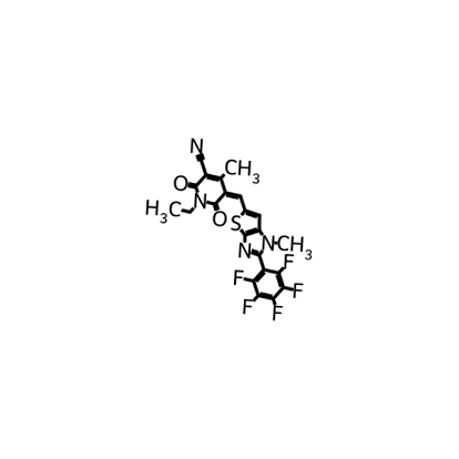 CCN1C(=O)C(C#N)=C(C)/C(=C/c2cc3c(nc(-c4c(F)c(F)c(F)c(F)c4F)n3C)s2)C1=O